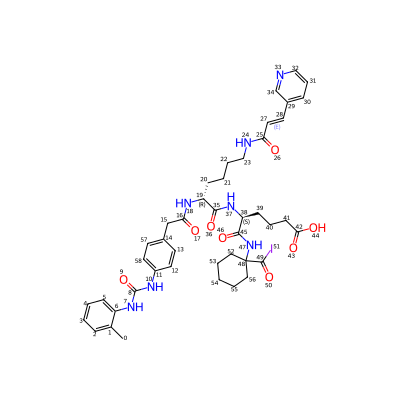 Cc1ccccc1NC(=O)Nc1ccc(CC(=O)N[C@H](CCCCNC(=O)/C=C/c2cccnc2)C(=O)N[C@@H](CCCC(=O)O)C(=O)NC2(C(=O)I)CCCCC2)cc1